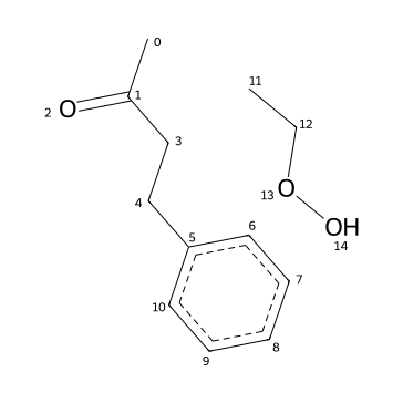 CC(=O)CCc1ccccc1.CCOO